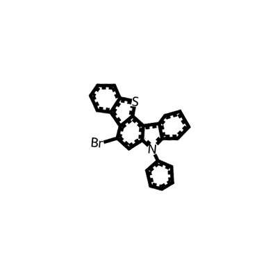 Brc1cc2c(c3ccccc3n2-c2ccccc2)c2sc3ccccc3c12